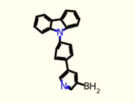 Bc1cncc(-c2ccc(-n3c4ccccc4c4ccccc43)cc2)c1